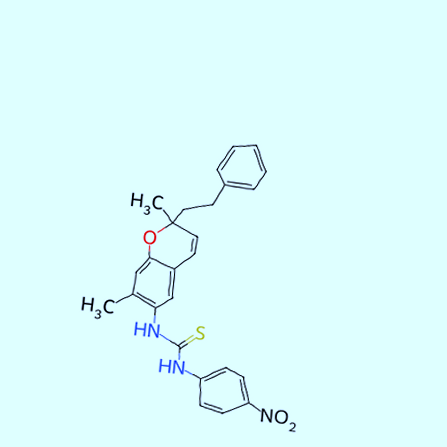 Cc1cc2c(cc1NC(=S)Nc1ccc([N+](=O)[O-])cc1)C=CC(C)(CCc1ccccc1)O2